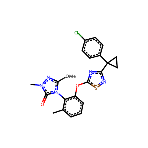 COc1nn(C)c(=O)n1-c1c(C)cccc1Oc1nc(C2(c3ccc(Cl)cc3)CC2)ns1